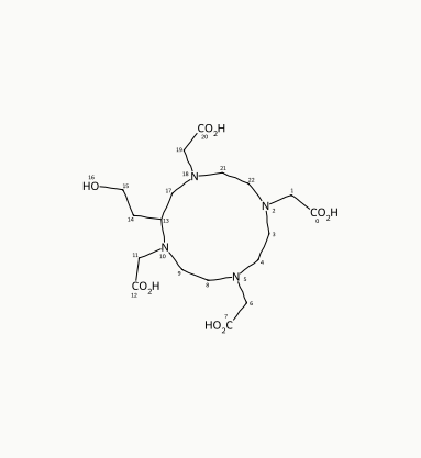 O=C(O)CN1CCN(CC(=O)O)CCN(CC(=O)O)C(CCO)CN(CC(=O)O)CC1